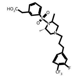 CC1CN(CCCc2ccc(C(F)(F)F)c(F)c2)C[C@H](C)N1S(=O)(=O)c1cccc(CC(=O)O)c1